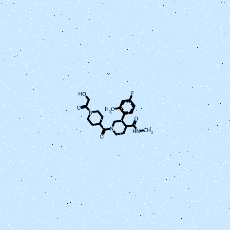 CNC(=O)C1CCN(C(=O)C2CCN(C(=O)CO)CC2)CC1c1ccc(F)cc1C